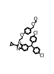 O=COCc1ccc(OCCn2c(C3CC3)nc3ccc(C(c4ccc(Cl)cc4)c4ccc(Cl)cc4)cc32)cc1